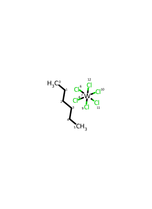 CCCCCC.[Cl][W]([Cl])([Cl])([Cl])([Cl])[Cl]